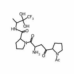 CC(=O)N1CCCC1C(=O)CC(N)C(=O)N1CCCC1C(=O)NC(C)C(O)(O)C(F)(F)F